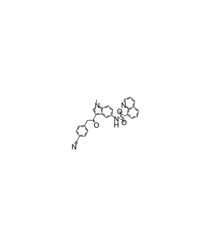 Cn1cc(C(=O)Cc2ccc(C#N)cc2)c2cc(NS(=O)(=O)c3cccc4cccnc34)ccc21